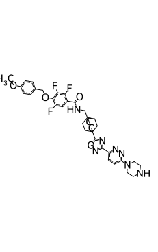 COc1ccc(COc2c(F)cc(C(=O)NCC34CCC(c5nc(-c6ccc(N7CCNCC7)nn6)no5)(CC3)CC4)c(F)c2F)cc1